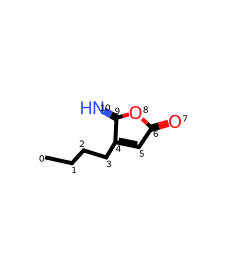 CCCCC1=CC(=O)OC1=N